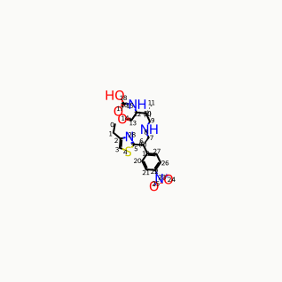 CCc1csc([C@@H](CNC[C@@H](C)C(C=O)NC(=O)O)c2ccc([N+](=O)[O-])cc2)n1